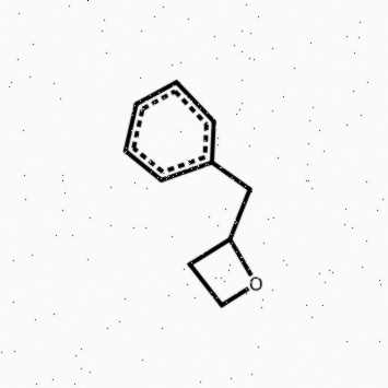 c1ccc(CC2CCO2)cc1